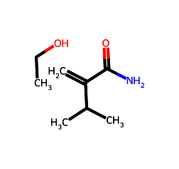 C=C(C(N)=O)C(C)C.CCO